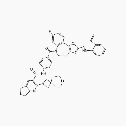 C=Nc1ccccc1NCc1cc2c(o1)-c1ccc(F)cc1N(C(=O)c1ccc(NC(=O)c3cc4c(nc3N3CC5(CCOCC5)C3)CCC4)cc1)CC2